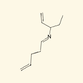 C=CCC/C=N/C(C=C)CC